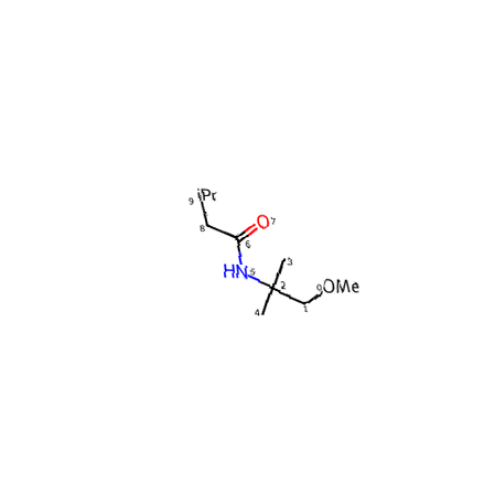 COCC(C)(C)NC(=O)CC(C)C